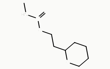 CNS(=O)OCCC1CCCCO1